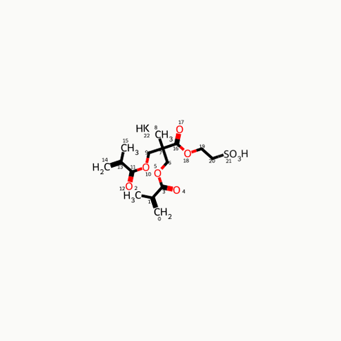 C=C(C)C(=O)OCC(C)(COC(=O)C(=C)C)C(=O)OCCS(=O)(=O)O.[KH]